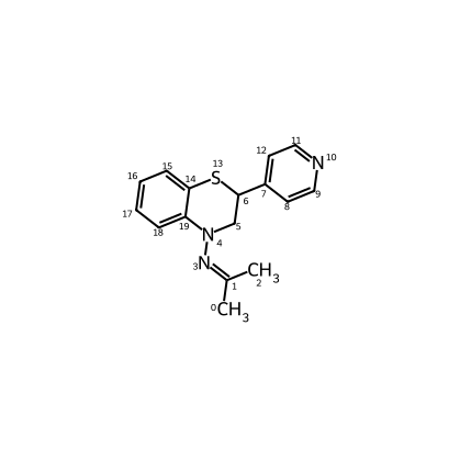 CC(C)=NN1CC(c2ccncc2)Sc2ccccc21